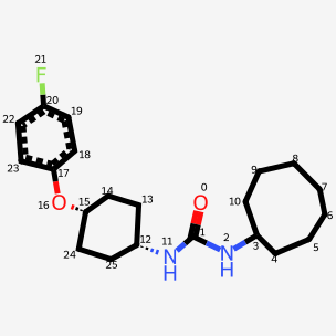 O=C(NC1CCCCCCC1)N[C@H]1CC[C@@H](Oc2ccc(F)cc2)CC1